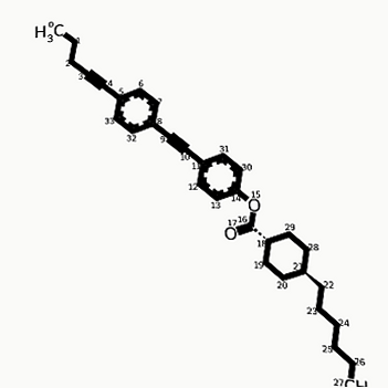 CCCC#Cc1ccc(C#Cc2ccc(OC(=O)[C@H]3CC[C@H](CCCCCC)CC3)cc2)cc1